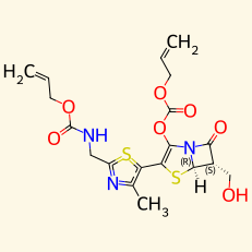 C=CCOC(=O)NCc1nc(C)c(C2=C(OC(=O)OCC=C)N3C(=O)[C@H](CO)[C@H]3S2)s1